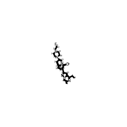 CCc1nc(C)cn2nc(C3=C\C(=O)N4C=C(N5CCN(CCF)CC5)C=C\C4=C/C=C/3)cc12